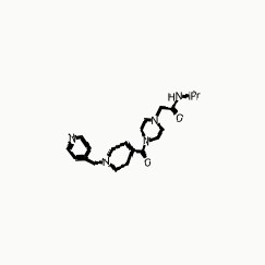 CC(C)NC(=O)CN1CCN(C(=O)C2CCN(Cc3ccncc3)CC2)CC1